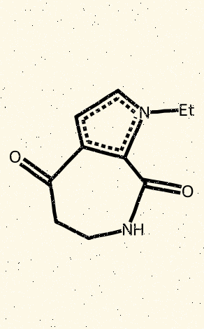 CCn1ccc2c1C(=O)NCCC2=O